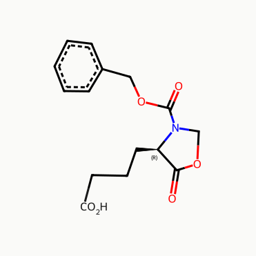 O=C(O)CCC[C@@H]1C(=O)OCN1C(=O)OCc1ccccc1